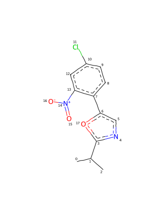 CC(C)c1ncc(-c2ccc(Cl)cc2[N+](=O)[O-])o1